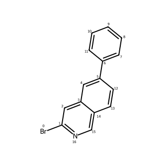 Brc1cc2cc(-c3ccccc3)ccc2cn1